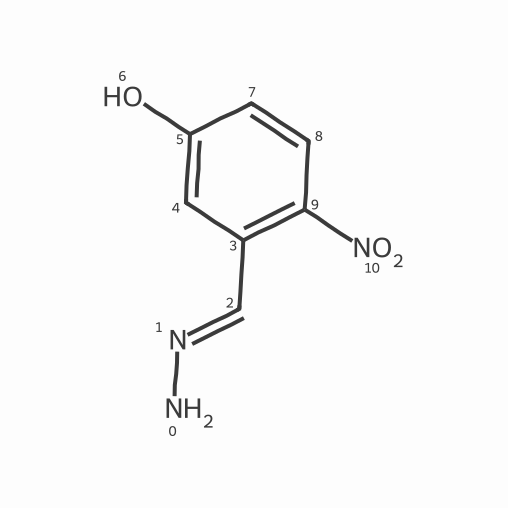 NN=Cc1cc(O)ccc1[N+](=O)[O-]